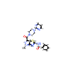 CC(C)(C)n1nc(C(=O)N2CCN(c3ncccn3)CC2)c2sc(NC(=O)c3ccccc3)nc21